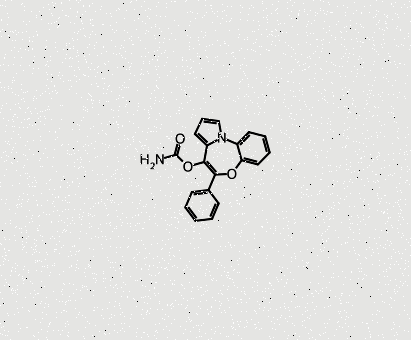 NC(=O)OC1=C(c2ccccc2)Oc2ccccc2-n2cccc21